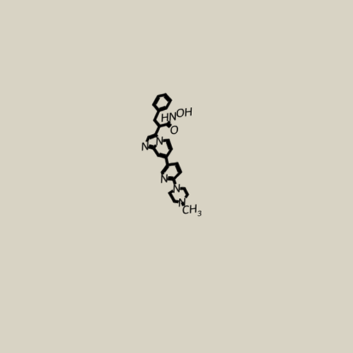 CN1CCN(c2ccc(-c3ccn4c(C(Cc5ccccc5)C(=O)NO)cnc4c3)cn2)CC1